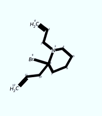 C=CCN1CCCCC1(Br)CC=C